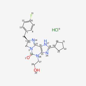 Cl.O=C1N2C[C@@H](Cc3ccc(F)cc3)N=C2c2[nH]c(C3CCCC3)nc2N1CCO